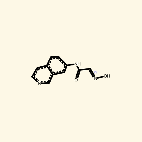 O=C(/C=N/O)Nc1ccc2ccncc2c1